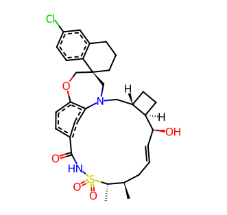 C[C@@H]1C/C=C/[C@H](O)[C@@H]2CC[C@H]2CN2C[C@@]3(CCCc4cc(Cl)ccc43)COc3ccc(cc32)C(=O)NS(=O)(=O)[C@H]1C